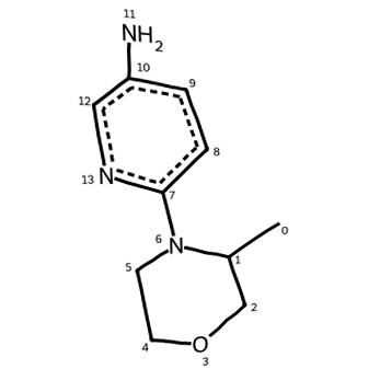 CC1COCCN1c1ccc(N)cn1